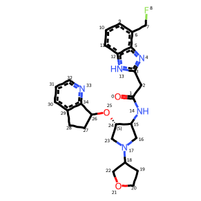 O=C(Cc1nc2c(CF)cccc2[nH]1)NC1CN(C2CCOC2)C[C@@H]1OC1CCc2cccnc21